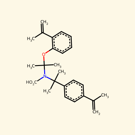 C=C(C)c1ccc(C(C)(C)N(C(=O)O)C(C)(C)Oc2ccccc2C(=C)C)cc1